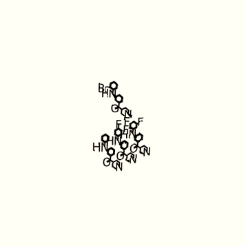 CN1CCC(C(=O)c2cccc(Nc3cc(F)cc(F)c3F)c2)CC1.CN1CCC(C(=O)c2cccc(Nc3ccc(F)cc3)c2)CC1.CN1CCC(C(=O)c2cccc(Nc3ccccc3)c2)CC1.CN1CCC(C(=O)c2cccc(Nc3ccccc3Br)c2)CC1